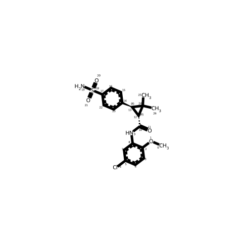 COc1ccc(Cl)cc1NC(=O)[C@@H]1[C@@H](c2ccc(S(N)(=O)=O)cc2)C1(C)C